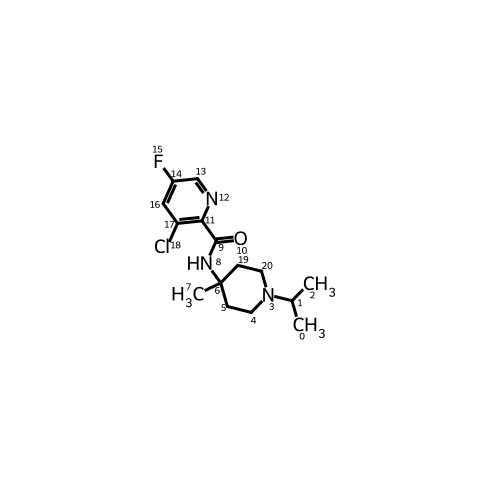 CC(C)N1CCC(C)(NC(=O)c2ncc(F)cc2Cl)CC1